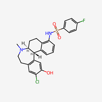 CN1CCc2cc(Cl)c(O)cc2[C@H]2c3cccc(NS(=O)(=O)c4ccc(F)cc4)c3CC[C@@H]21